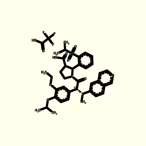 CCOc1cc([C@H](C(=O)N2CCC(C(=O)O)C2c2ccccc2S(=O)(=O)C(C)C)N(N)c2ccc3cnccc3c2)ccc1OC(C)C.O=C(O)C(F)(F)F